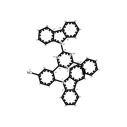 N#Cc1ccc(-n2c3ccccc3c3ccccc32)c(-c2nc(-c3ccccc3)nc(-n3c4ccccc4c4ccccc43)n2)c1